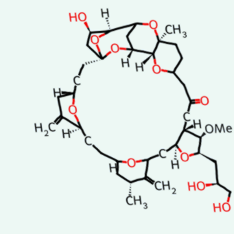 C=C1C2C[C@@H]3O[C@H](C[C@H](O)CO)[C@H](OC)[C@H]3CC(=O)CC3CC[C@]4(C)OC5C[C@@H](O[C@@]6(CC[C@H]7CC(=C)[C@H](CC[C@@H](C[C@H]1C)O2)O7)C[C@@H](O)[C@@H]5O6)[C@H]4O3